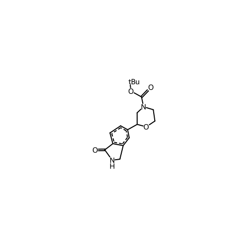 CC(C)(C)OC(=O)N1CCOC(c2ccc3c(c2)CNC3=O)C1